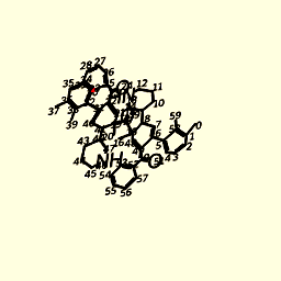 Cc1cccc(C2=CC(C3CCCNC3)C(C)(C(=O)C3(C)C=C(C(=O)c4ccccc4)C(c4cccc(C)c4C)=CC3C3CCCNC3)C=C2C(=O)c2ccccc2)c1C